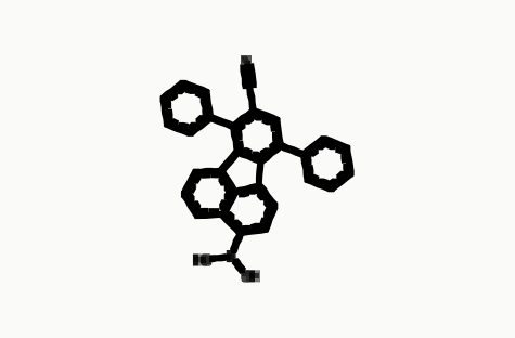 N#Cc1cc(-c2ccccc2)c2c(c1-c1ccccc1)-c1cccc3c(B(O)O)ccc-2c13